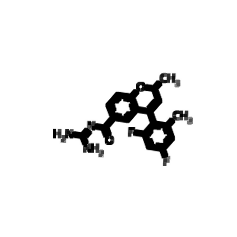 Cc1cc(F)cc(F)c1C1=CC(C)Oc2ccc(C(=O)N=C(N)N)cc21